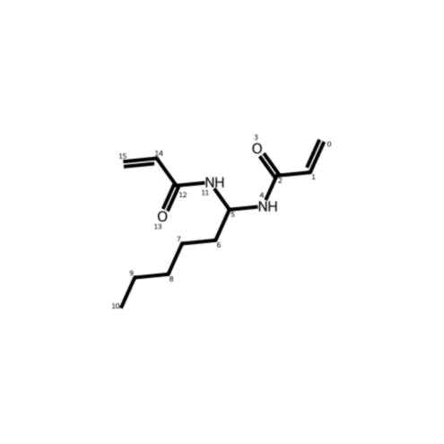 C=CC(=O)NC(CCCCC)NC(=O)C=C